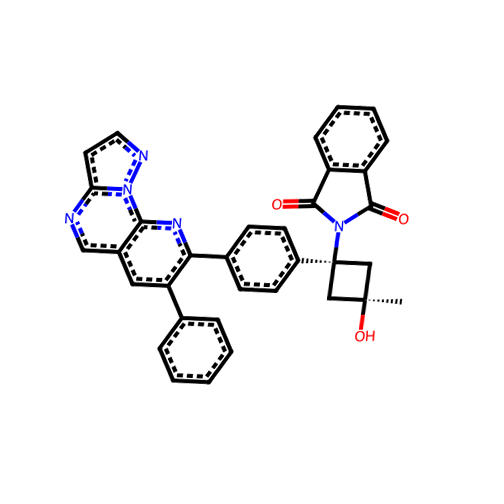 C[C@]1(O)C[C@@](c2ccc(-c3nc4c(cnc5ccnn54)cc3-c3ccccc3)cc2)(N2C(=O)c3ccccc3C2=O)C1